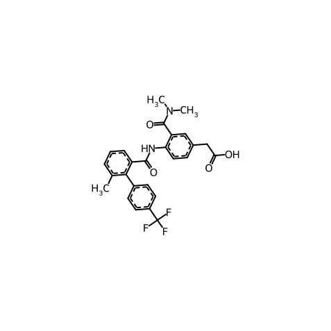 Cc1cccc(C(=O)Nc2ccc(CC(=O)O)cc2C(=O)N(C)C)c1-c1ccc(C(F)(F)F)cc1